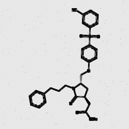 COC(=O)C[C@@H]1C[C@@H](COc2ccc(S(=O)(=O)c3cccc(C#N)c3)cc2)N(CCCc2ccccc2)C1=O